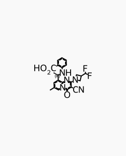 Cc1cc([C@@H](C)Nc2ccccc2C(=O)O)c2nc(N3CC(C(F)F)C3)c(C#N)c(=O)n2c1